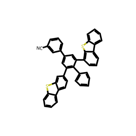 N#Cc1cccc(-c2cc(-c3ccc4c(c3)sc3ccccc34)c(-c3ccccc3)c(-c3cccc4c3sc3ccccc34)c2)c1